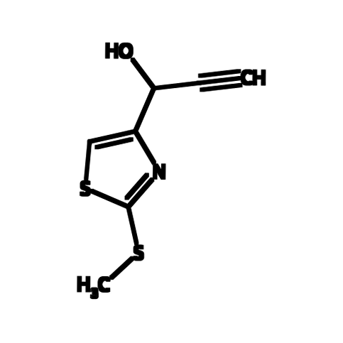 C#CC(O)c1csc(SC)n1